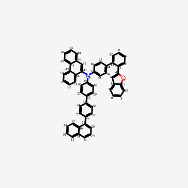 c1ccc(-c2cc3ccccc3o2)c(-c2ccc(N(c3ccc(-c4ccc(-c5cccc6ccccc56)cc4)cc3)c3cc4ccccc4c4ccccc34)cc2)c1